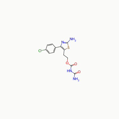 NC(=O)NC(=O)OCCc1sc(N)nc1-c1ccc(Cl)cc1